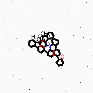 CC1(C)c2ccccc2-c2ccc(-c3ccccc3N(c3ccccc3-c3ccc4c(c3)oc3ccccc34)c3cccc4c3-c3ccccc3C4(C)C)cc21